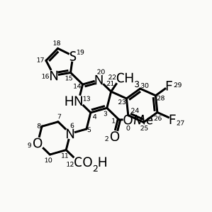 COC(=O)C1=C(CN2CCOCC2C(=O)O)NC(c2nccs2)=NC1(C)c1ccc(F)c(F)c1